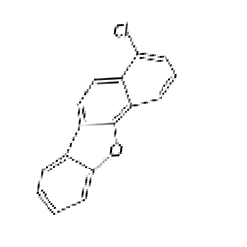 Clc1cccc2c1ccc1c3ccccc3oc21